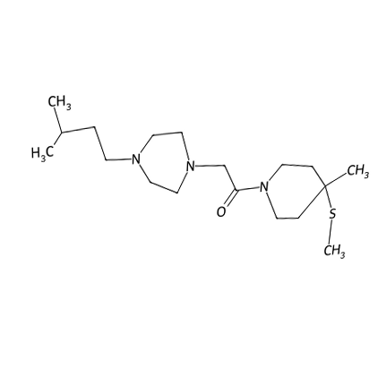 CSC1(C)CCN(C(=O)CN2CCN(CCC(C)C)CC2)CC1